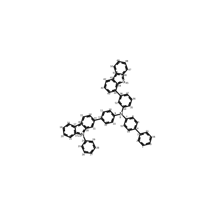 c1ccc(-c2ccc(N(c3ccc(-c4ccc5c6ccccc6n(-c6ccccc6)c5c4)cc3)c3cccc(-c4cccc5c4sc4ccccc45)c3)cc2)cc1